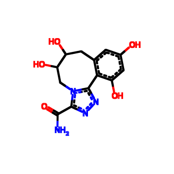 NC(=O)c1nnc2n1CC(O)C(O)Cc1cc(O)cc(O)c1-2